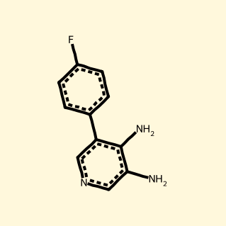 Nc1cncc(-c2ccc(F)cc2)c1N